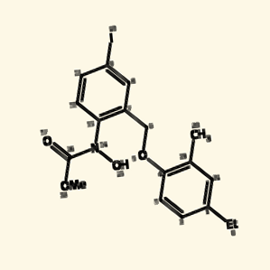 CCc1ccc(OCc2cc(I)ccc2N(O)C(=O)OC)c(C)c1